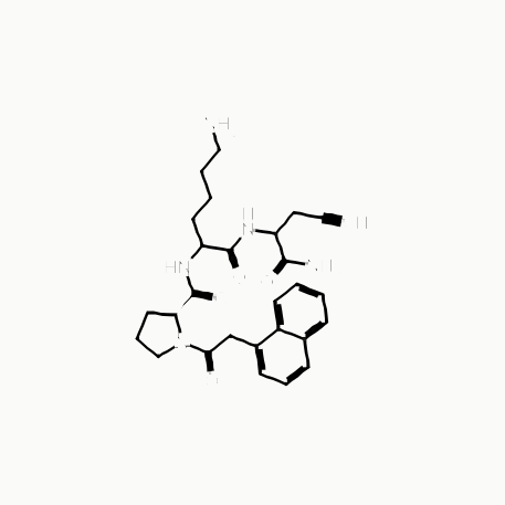 C#CCC(NC(=O)C(CCCCN)NC(=O)[C@@H]1CCCN1C(=O)Cc1cccc2ccccc12)C(N)=O